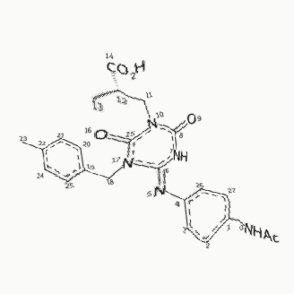 CC(=O)Nc1ccc(/N=c2\[nH]c(=O)n(C[C@H](C)C(=O)O)c(=O)n2Cc2ccc(C)cc2)cc1